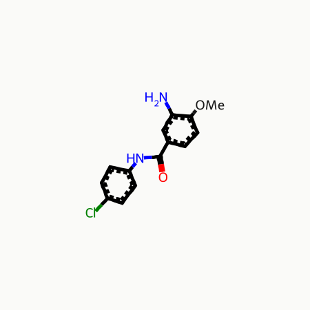 COc1ccc(C(=O)Nc2ccc(Cl)cc2)cc1N